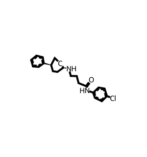 O=C(CCCN[C@H]1CC[C@H](c2ccccc2)CC1)Nc1ccc(Cl)cc1